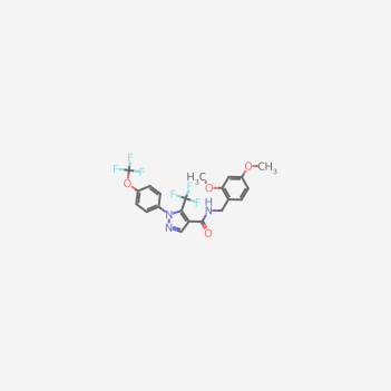 COc1ccc(CNC(=O)c2cnn(-c3ccc(OC(F)(F)F)cc3)c2C(F)(F)F)c(OC)c1